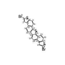 Brc1cc2c(ccc3c2ccc2c4ccc5c6cc(Br)sc6ccc5c4sc32)s1